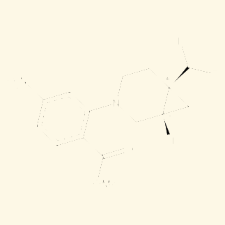 COC(=O)c1ccc([N+](=O)[O-])cc1N1CC[C@]2(C(F)F)C[C@@H]2C1